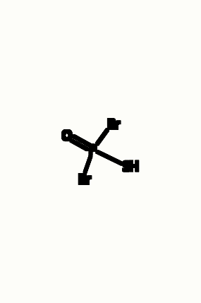 O=P(S)(Br)Br